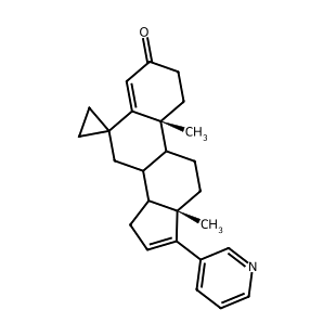 C[C@]12CCC(=O)C=C1C1(CC1)CC1C2CC[C@]2(C)C(c3cccnc3)=CCC12